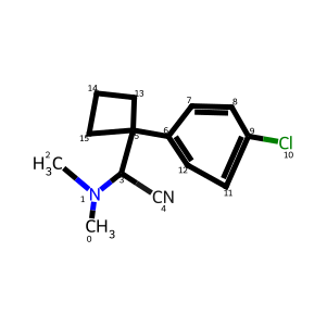 CN(C)C(C#N)C1(c2ccc(Cl)cc2)CCC1